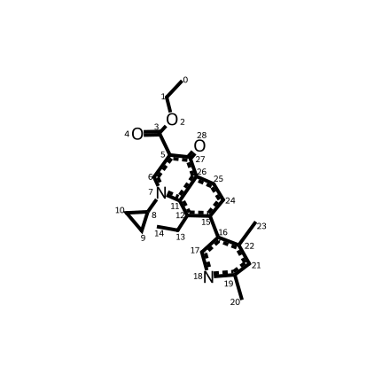 CCOC(=O)c1cn(C2CC2)c2c(CC)c(-c3cnc(C)cc3C)ccc2c1=O